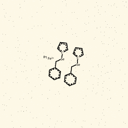 [Fe+2].[Pt].c1ccc(C[Se][c-]2cccc2)cc1.c1ccc(C[Se][c-]2cccc2)cc1